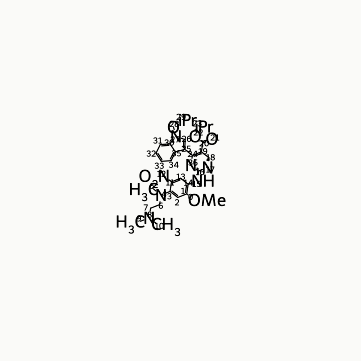 COc1cc(N(C)CCN(C)C)c([N+](=O)[O-])cc1Nc1ncc(C(=O)OC(C)C)c(-c2cn(OC(C)C)c3ccccc23)n1